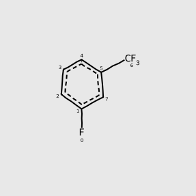 Fc1cc[c]c(C(F)(F)F)c1